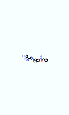 N#CC(Cc1cccc(NC(=O)Cc2ccccc2)c1)n1cc(-c2ncnc3[nH]ccc23)cn1